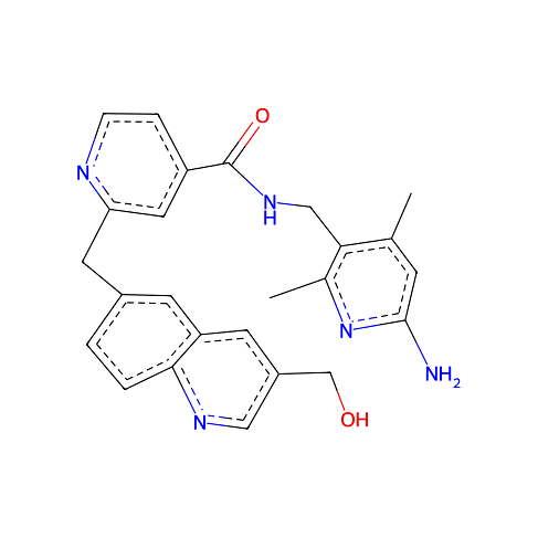 Cc1cc(N)nc(C)c1CNC(=O)c1ccnc(Cc2ccc3ncc(CO)cc3c2)c1